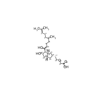 CC(C)=CCCC(C)CCC=C(O)[C@H]1[C@@H]2C[C@H](CCOCC(=O)O)C[C@@H]2C[C@@H]1O